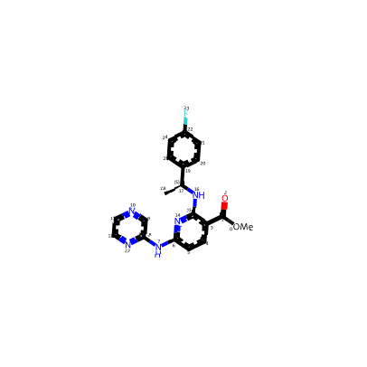 COC(=O)c1ccc(Nc2cnccn2)nc1N[C@@H](C)c1ccc(F)cc1